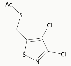 CC(=O)SCc1snc(Cl)c1Cl